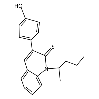 CCCC(C)n1c(=S)c(-c2ccc(O)cc2)cc2ccccc21